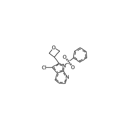 O=S(=O)(c1ccccc1)n1c(C2COC2)c(Cl)c2cccnc21